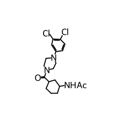 CC(=O)NC1CCCC(C(=O)N2CCN(c3ccc(Cl)c(Cl)c3)CC2)C1